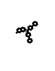 Cc1ccc2ccc(N(c3ccc(-c4ccccc4)cc3)c3ccc(-c4ccccc4)cc3)cc2c1